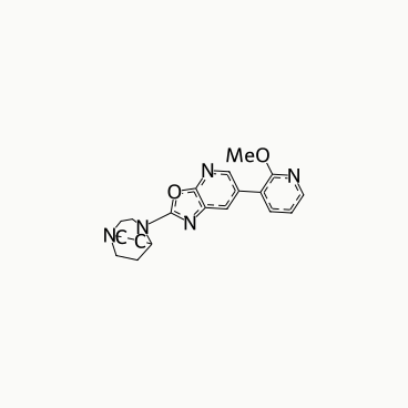 COc1ncccc1-c1cnc2oc(N3CCN4CCC3CC4)nc2c1